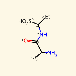 CCC(NC(=O)[C@@H](N)C(C)C)S(=O)(=O)O